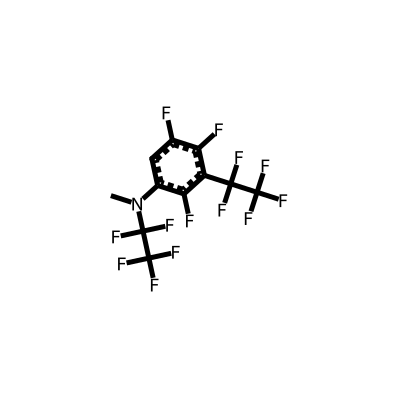 CN(c1cc(F)c(F)c(C(F)(F)C(F)(F)F)c1F)C(F)(F)C(F)(F)F